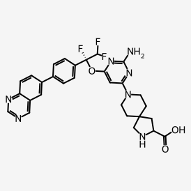 Nc1nc(O[C@@](F)(c2ccc(-c3ccc4ncncc4c3)cc2)C(F)F)cc(N2CCC3(CC2)CNC(C(=O)O)C3)n1